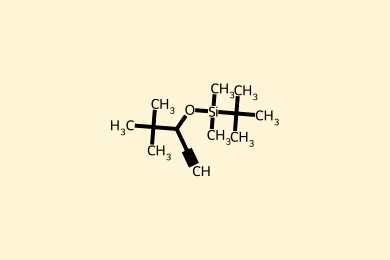 C#CC(O[Si](C)(C)C(C)(C)C)C(C)(C)C